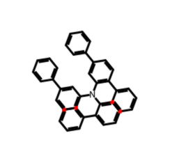 c1ccc(-c2cccc(N(c3ccccc3-c3ccccc3)c3cc(-c4ccccc4)ccc3-c3ccccc3)c2)cc1